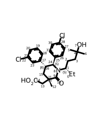 CC[C@@H](CCC(C)(C)O)N1C(=O)[C@](C)(CC(=O)O)C[C@H](c2cccc(Cl)c2)[C@H]1c1ccc(Cl)cc1